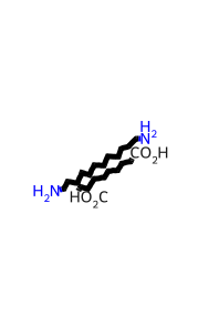 NCCCCCCCCCCCCN.O=C(O)CCCCCCCCC(=O)O